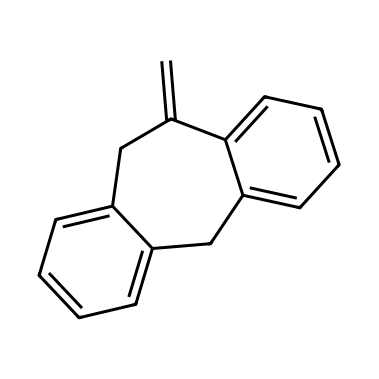 C=C1Cc2ccccc2Cc2ccccc21